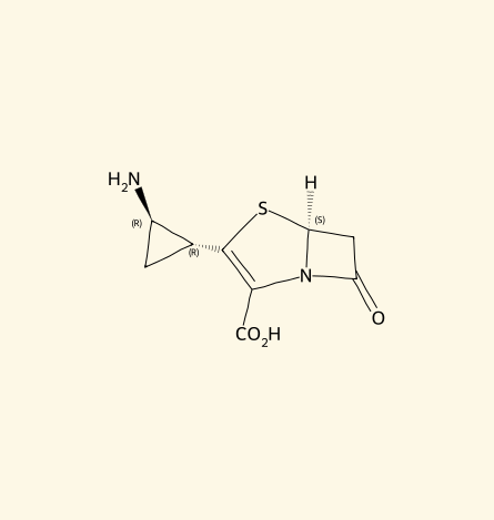 N[C@@H]1C[C@H]1C1=C(C(=O)O)N2C(=O)C[C@@H]2S1